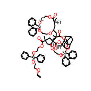 C=COCCO[Si](OCCOC(=O)C(C)(CC1CC(C)(CC2CC(C)(CC)C(=O)OCCO[Si](c3ccccc3)(c3ccccc3)OCCO2)C(=O)OCCO[Si](c2ccccc2)(c2ccccc2)OCCO1)CC(C)(CC)C(=O)OC1(C(C)C)C2CC3CC(C2)CC1C3)(c1ccccc1)c1ccccc1